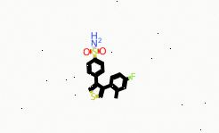 Cc1cc(F)ccc1-c1cscc1-c1ccc(S(N)(=O)=O)cc1